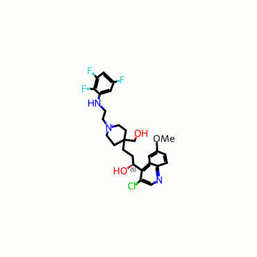 COc1ccc2ncc(Cl)c([C@@H](O)CCC3(CO)CCN(CCNc4cc(F)cc(F)c4F)CC3)c2c1